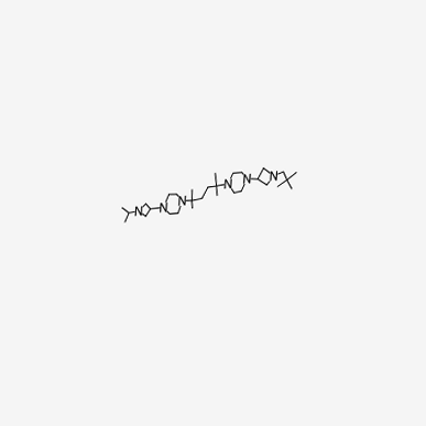 CC(C)N1CC(N2CCN(C(C)(C)CCC(C)(C)N3CCN(C4CN(CC(C)(C)C)C4)CC3)CC2)C1